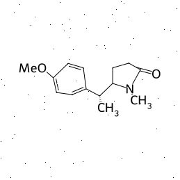 COc1ccc([C@@H](C)C2CCC(=O)N2C)cc1